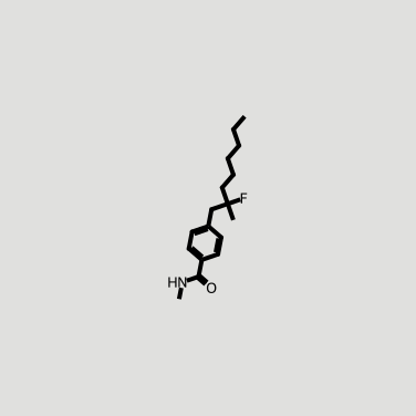 CCCCCCC(C)(F)Cc1ccc(C(=O)NC)cc1